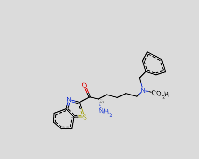 N[C@@H](CCCCN(Cc1ccccc1)C(=O)O)C(=O)c1nc2ccccc2s1